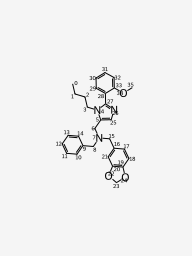 CCCCn1c(CN(Cc2ccccc2)Cc2ccc3c(c2)OCO3)cnc1-c1ccccc1OC